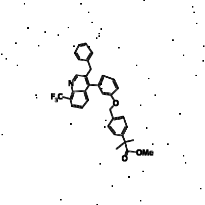 COC(=O)C(C)(C)c1ccc(COc2cccc(-c3c(Cc4ccccc4)cnc4c(C(F)(F)F)cccc34)c2)cc1